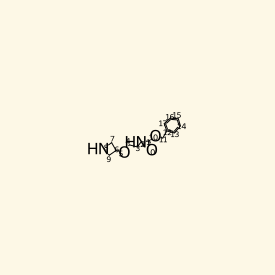 O=C(NCCOC1CNC1)OCc1ccccc1